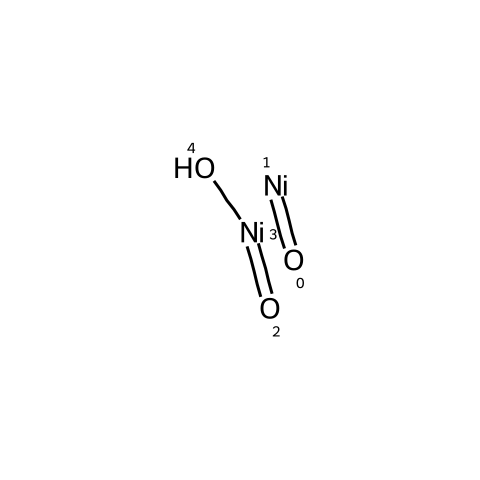 [O]=[Ni].[O]=[Ni][OH]